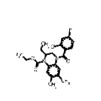 CCOC(=O)N1c2cc(C)c(C)cc2N(C(=O)c2ccc(F)cc2Cl)CC1CC